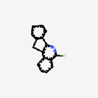 Clc1nc2c(c3ccccc13)Cc1ccccc1-2